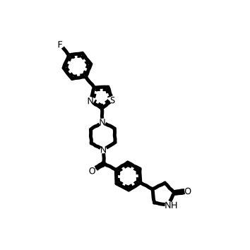 O=C1CC(c2ccc(C(=O)N3CCN(c4nc(-c5ccc(F)cc5)cs4)CC3)cc2)CN1